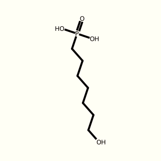 O=P(O)(O)CCCCCCCO